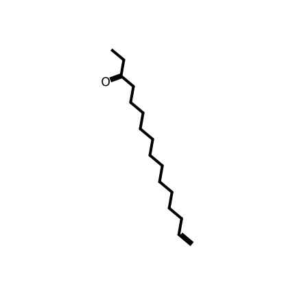 C=CCCCCCCCCCCCC(=O)CC